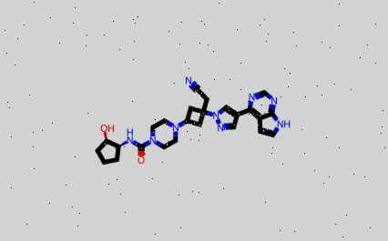 N#CCC1(n2cc(-c3ncnc4[nH]ccc34)cn2)CC(N2CCN(C(=O)N[C@H]3CCC[C@H]3O)CC2)C1